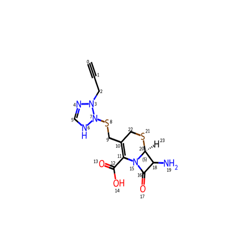 C#CCN1N=CNN1SCC1=C(C(=O)O)N2C(=O)C(N)[C@@H]2SC1